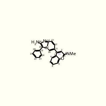 CNC(=O)/C=C(\c1ccccc1)c1ccc2nc(N)c(-c3ccccc3)n2c1